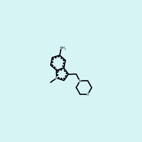 Cn1cc(CN2CCOCC2)c2cc(N)ccc21